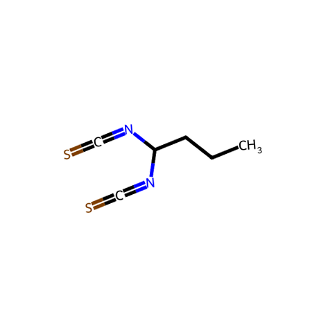 CCCC(N=C=S)N=C=S